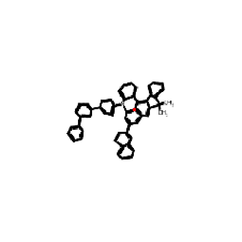 CC1(C)c2ccccc2-c2c(-c3ccccc3N(c3ccc(-c4cccc(-c5ccccc5)c4)cc3)c3cccc(-c4ccc5ccccc5c4)c3)cccc21